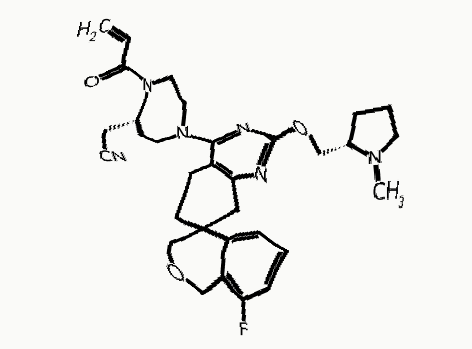 C=CC(=O)N1CCN(c2nc(OC[C@@H]3CCCN3C)nc3c2CCC2(COCc4c(F)cccc42)C3)C[C@@H]1CC#N